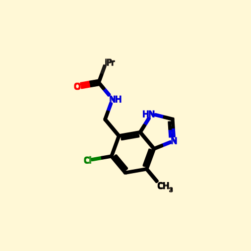 Cc1cc(Cl)c(CNC(=O)C(C)C)c2[nH]cnc12